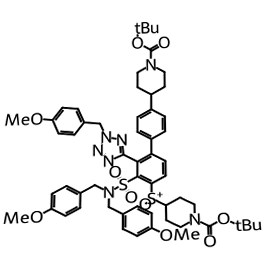 COc1ccc(CN(Cc2ccc(OC)cc2)S(=O)(=O)c2c([S+]([O-])C3CCN(C(=O)OC(C)(C)C)CC3)ccc(-c3ccc(C4CCN(C(=O)OC(C)(C)C)CC4)cc3)c2-c2nnn(Cc3ccc(OC)cc3)n2)cc1